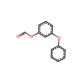 O=[C]Oc1cccc(Oc2ccccc2)c1